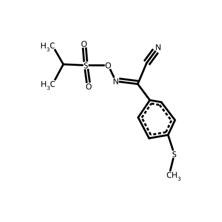 CSc1ccc(C(C#N)=NOS(=O)(=O)C(C)C)cc1